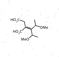 COC(C)C(=C(CC(=O)O)C(=O)O)C(C)OC